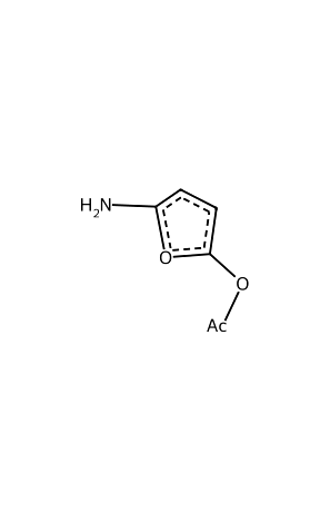 CC(=O)Oc1ccc(N)o1